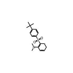 CN(C)C1=C(S(=O)(=O)c2ccc(C(C)(C)C)cc2)[CH]CC=C1